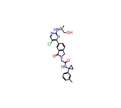 Cc1cccc(C2(NC(=O)CN3Cc4ccc(-c5nc(N[C@@H](C)CO)ncc5Cl)cc4C3=O)CC2)c1